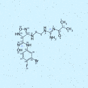 CC(C)C(=O)/N=C(\N)NCCNC1=NONC1/C(=N/O)Nc1ccc(F)c(Br)c1